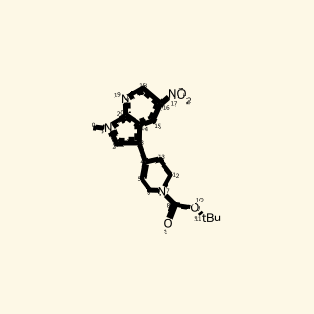 Cn1cc(C2=CCN(C(=O)OC(C)(C)C)CC2)c2cc([N+](=O)[O-])cnc21